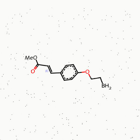 BCCOc1ccc(/C=C/C(=O)OC)cc1